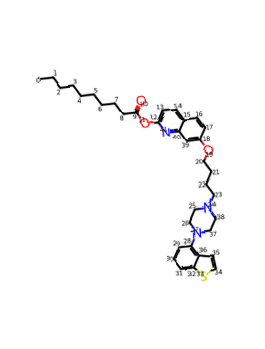 CCCCCCCCCC(=O)Oc1ccc2ccc(OCCCCN3CCN(c4cccc5sccc45)CC3)cc2n1